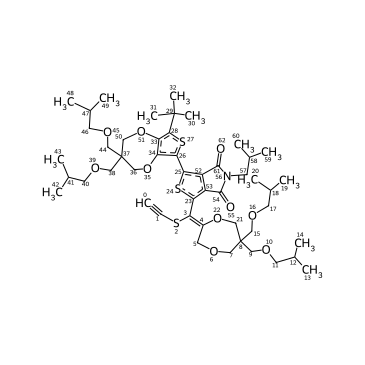 C#CS/C(=C1\COCC(COCC(C)C)(COCC(C)C)CO1)c1sc(-c2sc(C(C)(C)C)c3c2OCC(COCC(C)C)(COCC(C)C)CO3)c2c1C(=O)N(CC(C)C)C2=O